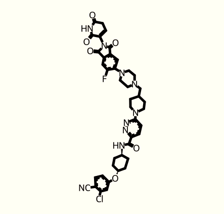 N#Cc1ccc(O[C@H]2CC[C@H](NC(=O)c3ccc(N4CCC(CN5CCN(c6cc7c(cc6F)C(=O)N(C6=CCC(=O)NC6=O)C7=O)CC5)CC4)nn3)CC2)cc1Cl